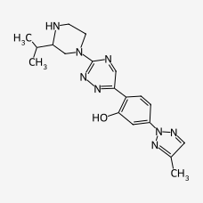 Cc1cnn(-c2ccc(-c3cnc(N4CCNC(C(C)C)C4)nn3)c(O)c2)n1